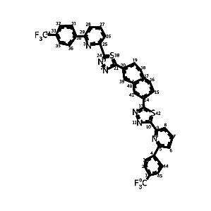 FC(F)(F)c1ccc(-c2cccc(-c3nnc(-c4ccc5ccc(-c6nnc(-c7cccc(-c8ccc(C(F)(F)F)cc8)n7)s6)cc5c4)s3)n2)cc1